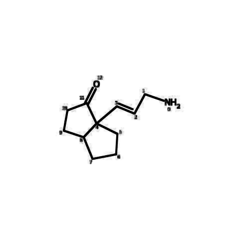 NCC=CC12CCCC1CCC2=O